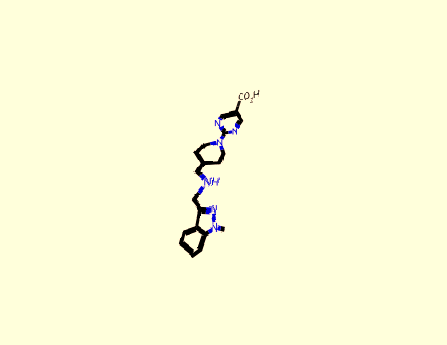 Cn1nc(CNCC2CCN(c3ncc(C(=O)O)cn3)CC2)c2ccccc21